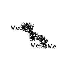 COCC1(COC)COc2csc(-c3ccc(-c4ccc(-c5ccc(-c6scc7c6OCC(COC)(COC)CO7)s5)c5nsnc45)s3)c2OC1